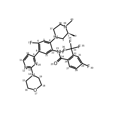 C[C@H]1CN(c2cc(F)c(-c3ccnc(N4CCOCC4)n3)cc2NC(=O)c2ccc(F)cc2C(F)(F)F)CCN1C